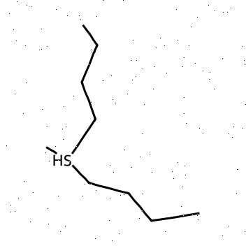 CCCC[SH](C)CCCC